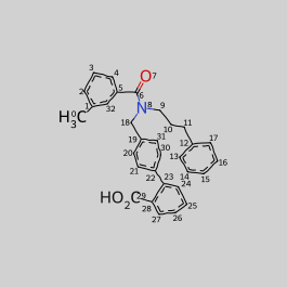 Cc1cccc(C(=O)N(CCCc2ccccc2)Cc2ccc(-c3ccccc3C(=O)O)cc2)c1